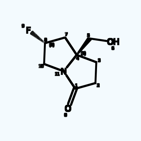 O=C1CC[C@@]2(CO)C[C@@H](F)CN12